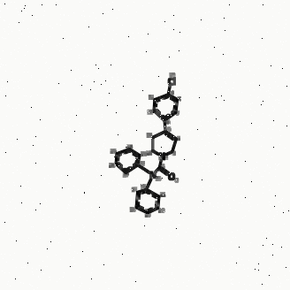 O=C(N1CC=C(c2ccc(Cl)cc2)CC1)N(c1ccccc1)c1ccccc1